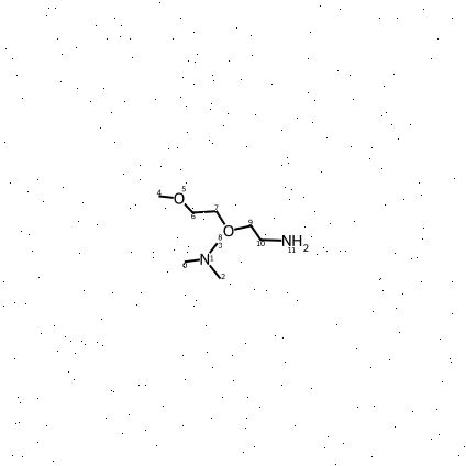 CN(C)C.COCCOCCN